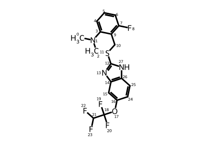 CN(C)c1cccc(F)c1CSc1nc2cc(OC(F)(F)C(F)F)ccc2[nH]1